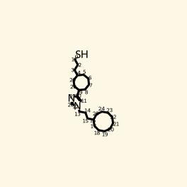 SCCCC1CCCCC(c2cn(CCCC3CCCCCCCCC3)cn2)CC1